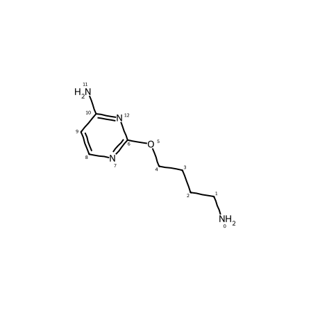 NCCCCOc1nccc(N)n1